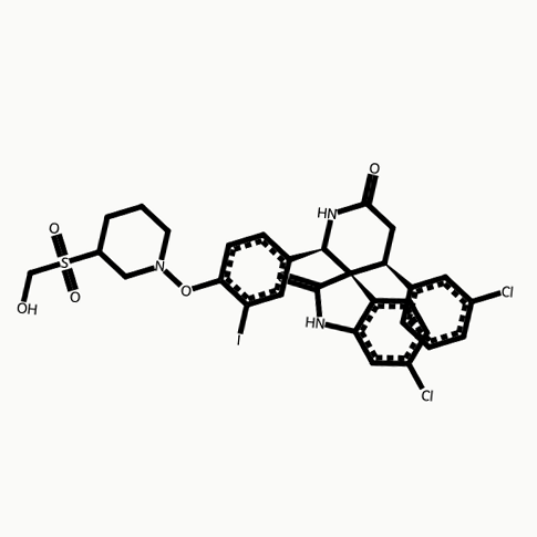 O=C1C[C@@H](c2cccc(Cl)c2)[C@]2(C(=O)Nc3cc(Cl)ccc32)[C@@H](c2ccc(ON3CCCC(S(=O)(=O)CO)C3)c(I)c2)N1